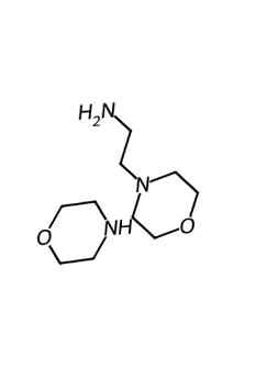 C1COCCN1.NCCN1CCOCC1